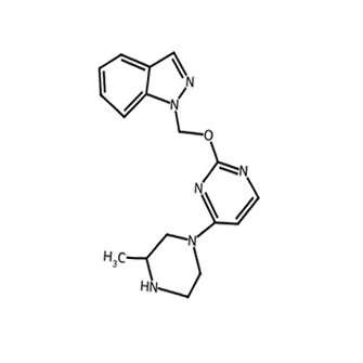 CC1CN(c2ccnc(OCn3ncc4ccccc43)n2)CCN1